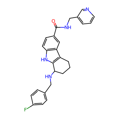 O=C(NCc1cccnc1)c1ccc2[nH]c3c(c2c1)CCCC3NCc1ccc(F)cc1